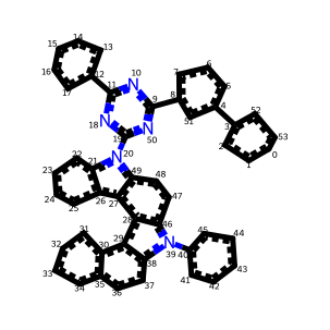 c1ccc(-c2cccc(-c3nc(-c4ccccc4)nc(-n4c5ccccc5c5c6c7c8ccccc8ccc7n(-c7ccccc7)c6ccc54)n3)c2)cc1